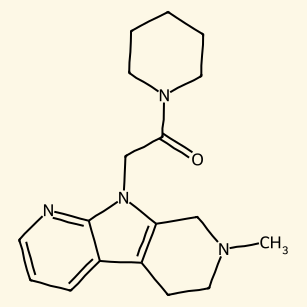 CN1CCc2c(n(CC(=O)N3CCCCC3)c3ncccc23)C1